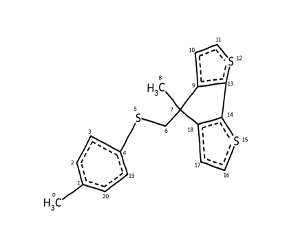 Cc1ccc(SCC2(C)c3ccsc3-c3sccc32)cc1